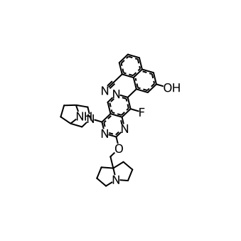 N#Cc1cccc2cc(O)cc(-c3ncc4c(N5CC6CCC(C5)N6)nc(OCC56CCCN5CCC6)nc4c3F)c12